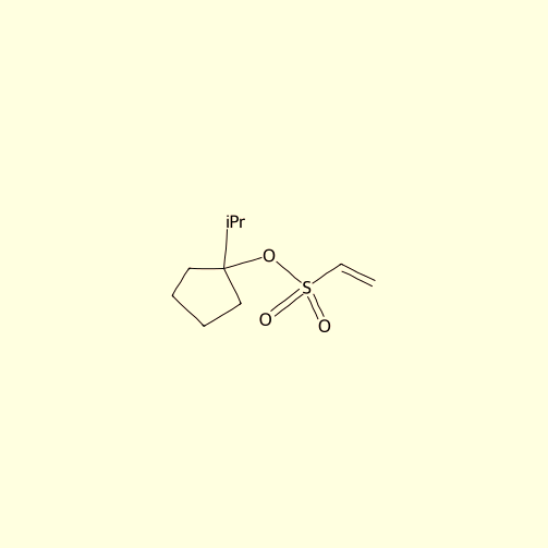 C=CS(=O)(=O)OC1(C(C)C)CCCC1